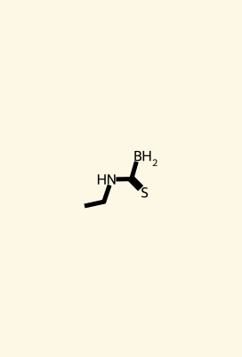 BC(=S)NCC